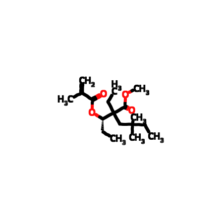 C=C(C)C(=O)O[C@@H](CC)C(CC)(CC(C)(C)CC)C(=O)OC